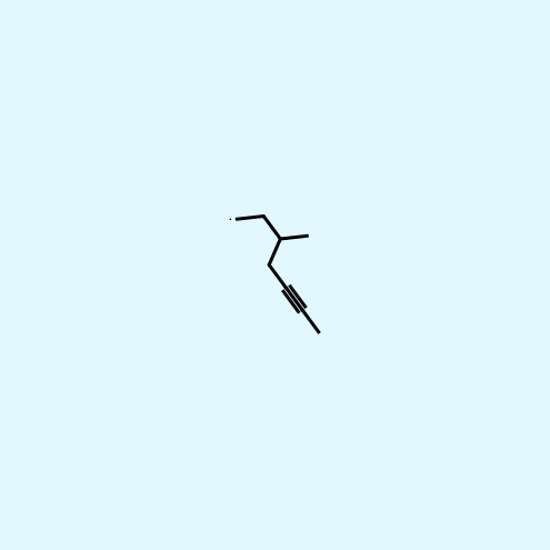 [CH2]CC(C)CC#CC